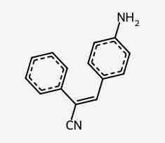 N#CC(=Cc1ccc(N)cc1)c1ccccc1